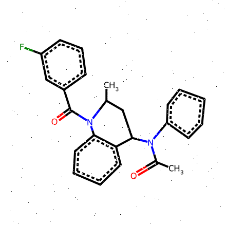 CC(=O)N(c1ccccc1)C1CC(C)N(C(=O)c2cccc(F)c2)c2ccccc21